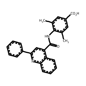 Cc1cc(C(=O)O)cc(C)c1NC(=O)c1cc(-c2ccccc2)nc2ccccc12